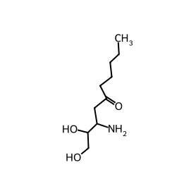 CCCCCC(=O)CC(N)C(O)CO